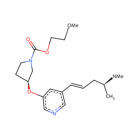 CN[C@@H](C)C/C=C/c1cncc(O[C@H]2CCN(C(=O)OCCOC)C2)c1